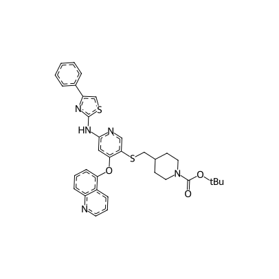 CC(C)(C)OC(=O)N1CCC(CSc2cnc(Nc3nc(-c4ccccc4)cs3)cc2Oc2cccc3ncccc23)CC1